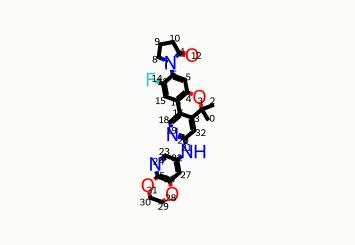 CC1(C)Oc2cc(N3CCCC3=O)c(F)cc2-c2cnc(Nc3cnc4c(c3)OCCO4)cc21